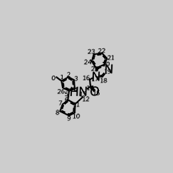 Cc1cccc(-c2ccccc2CNC(=O)Cn2cnc3ccccc32)c1